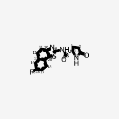 O=C1CC[C@@H](C(=O)Nc2nc3ccc4cc(F)ccc4c3s2)N1